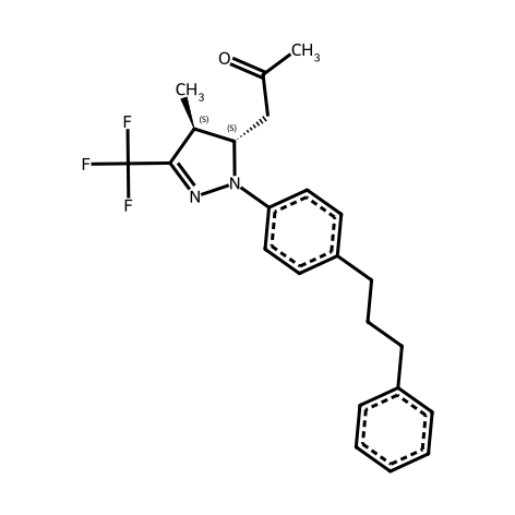 CC(=O)C[C@H]1[C@H](C)C(C(F)(F)F)=NN1c1ccc(CCCc2ccccc2)cc1